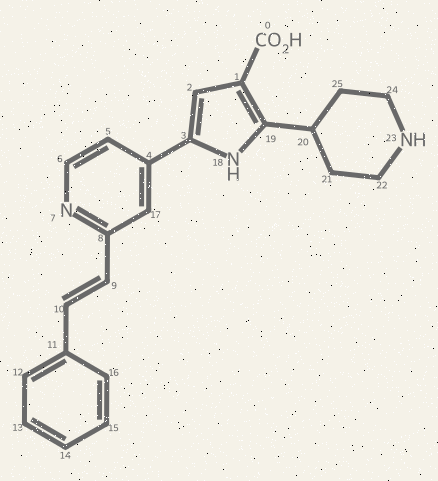 O=C(O)c1cc(-c2ccnc(/C=C/c3ccccc3)c2)[nH]c1C1CCNCC1